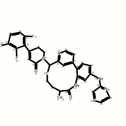 CC1CCCC(N2CCC(c3c(F)ccc(Cl)c3F)=CC2=O)c2cc(ccn2)-c2ccc(Nc3cnccn3)cc2NC1=O